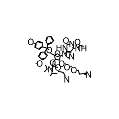 COc1ccc(C(OCC2OC(n3cnc4c(NC(C)=O)nc(=O)[nH]c43)C(OCOCOCCC#N)C2OP(OCCC#N)N(C(C)C)C(C)C)(c2ccccc2)c2ccc(OC)cc2)cc1